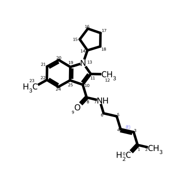 C=C(C)/C=C/CCNC(=O)c1c(C)n(C2CCCC2)c2ccc(C)cc12